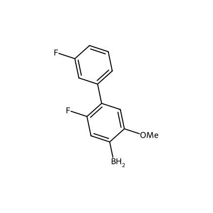 Bc1cc(F)c(-c2cccc(F)c2)cc1OC